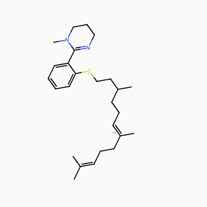 CC(C)=CCC/C(C)=C/CCC(C)CCSc1ccccc1C1=NCCCN1C